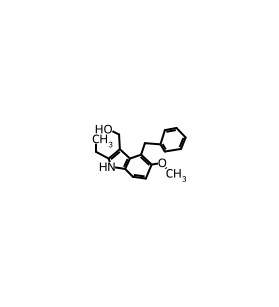 CCc1[nH]c2ccc(OC)c(Cc3ccccc3)c2c1CO